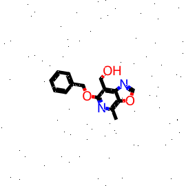 Cc1nc(OCc2ccccc2)c(CO)c2ncoc12